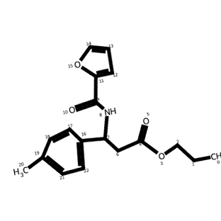 CCCOC(=O)CC(NC(=O)c1ccco1)c1ccc(C)cc1